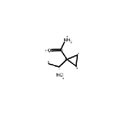 CCC1(C(N)=O)CC1.Cl